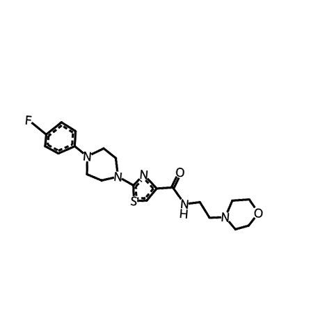 O=C(NCCN1CCOCC1)c1csc(N2CCN(c3ccc(F)cc3)CC2)n1